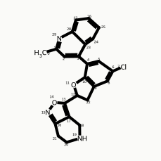 Cc1cc(-c2cc(Cl)cc3c2OC(c2onc4c2CNCC4)C3)c2ccccc2n1